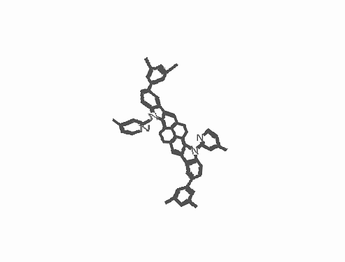 Cc1cc(C)cc(-c2ccc3c(c2)c2cc4c5c(c2n3-c2cc(C)ccn2)CCc2cc3c6cc(-c7cc(C)cc(C)c7)ccc6n(-c6cc(C)ccn6)c3c(c2-5)CC4)c1